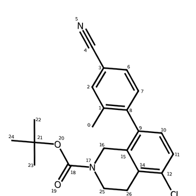 Cc1cc(C#N)ccc1-c1ccc(Cl)c2c1CN(C(=O)OC(C)(C)C)CC2